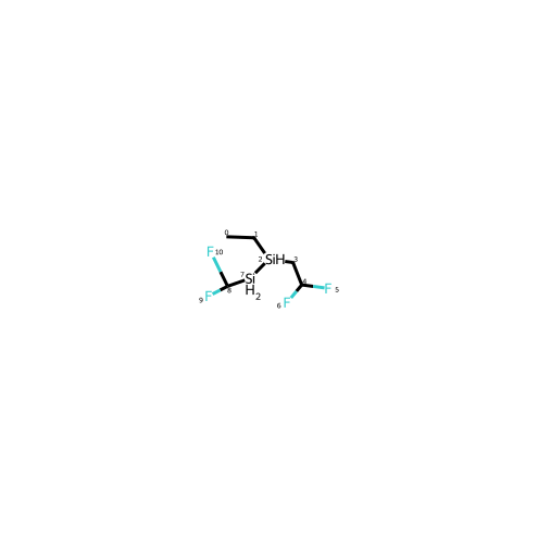 CC[SiH](CC(F)F)[SiH2]C(F)F